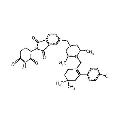 CC1CN(Cc2ccc3c(c2)C(=O)N(C2CCC(=O)NC2=O)C3=O)CC(C)N1CC1=C(c2ccc(Cl)cc2)CC(C)(C)CC1